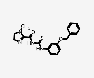 CN1CCN=C1C(=O)NC(=S)Nc1cccc(OCc2ccccc2)c1